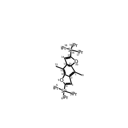 Cc1c2cc([Si](C(C)C)(C(C)C)C(C)C)oc2c(C)c2cc([Si](C(C)C)(C(C)C)C(C)C)oc12